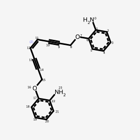 Nc1ccccc1OCC#C/C=C\C#CCOc1ccccc1N